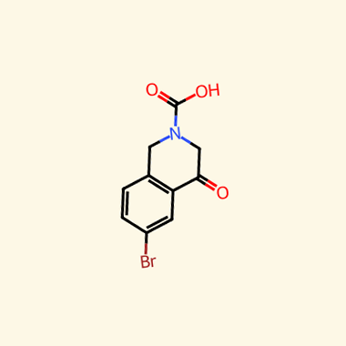 O=C1CN(C(=O)O)Cc2ccc(Br)cc21